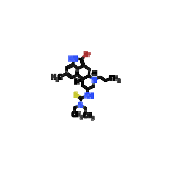 CCCN1C[C@@H](NC(=S)N(CC)CC)C[C@@H]2c3cc(C)cc4[nH]c(Br)c(c34)C[C@H]21